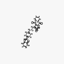 O=C1c2ccccc2C(=O)c2c1n[n+]([O-])n2CCCN1CCN(c2nc3ccccc3o2)CC1